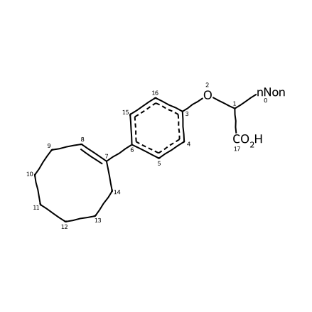 CCCCCCCCCC(Oc1ccc(C2=CCCCCCC2)cc1)C(=O)O